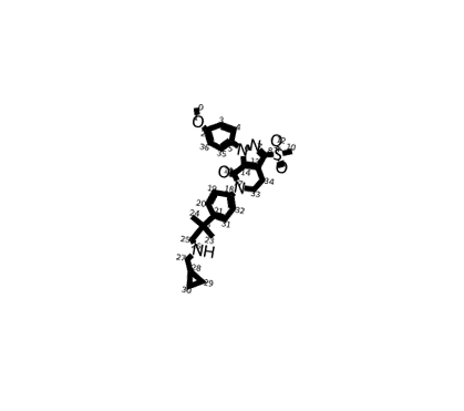 COc1ccc(-n2nc(S(C)(=O)=O)c3c2C(=O)N(c2ccc(C(C)(C)CNCC4CC4)cc2)CC3)cc1